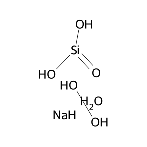 O.O=[Si](O)O.OO.[NaH]